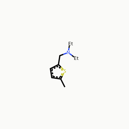 CCN(CC)Cc1ccc(C)s1